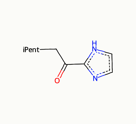 CCCC(C)CC(=O)c1ncc[nH]1